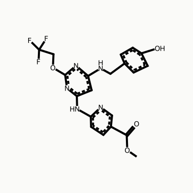 COC(=O)c1ccc(Nc2cc(NCc3ccc(O)cc3)nc(OCC(F)(F)F)n2)nc1